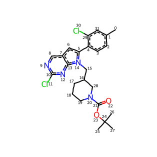 Cc1ccc(-c2cc3cnc(Cl)nc3n2CC2CCCN(C(=O)OC(C)(C)C)C2)c(Cl)c1